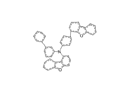 c1ccc(-c2cccc(N(c3ccc(-c4cccc5c4oc4ccccc45)cc3)c3cccc4oc5ccccc5c34)c2)cc1